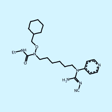 CCNC(=O)N(CCCCCCN(C(N)=NC#N)c1ccncc1)OCC1CCCCC1